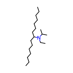 CCCCCCCC(CCCCCCC)N(CC)C(C)C